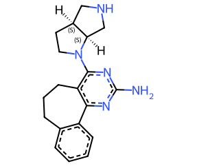 Nc1nc2c(c(N3CC[C@H]4CNC[C@H]43)n1)CCCc1ccccc1-2